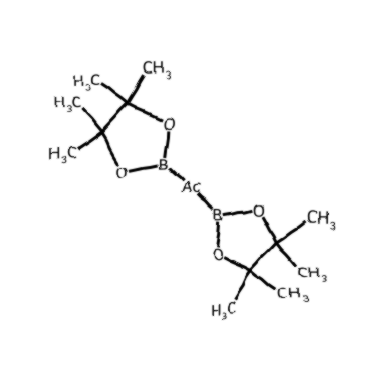 CC1(C)O[B]([Ac][B]2OC(C)(C)C(C)(C)O2)OC1(C)C